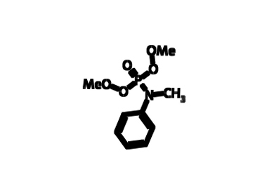 COOP(=O)(OOC)N(C)c1ccccc1